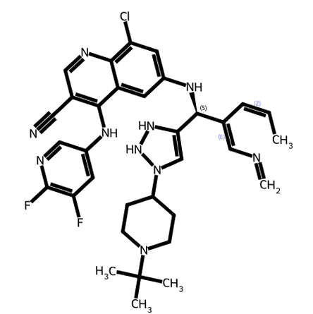 C=N/C=C(\C=C/C)[C@H](Nc1cc(Cl)c2ncc(C#N)c(Nc3cnc(F)c(F)c3)c2c1)C1=CN(C2CCN(C(C)(C)C)CC2)NN1